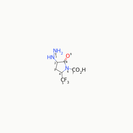 NNC1CC(C(F)(F)F)N(C(=O)O)C1=O